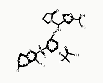 Cc1c(S(=O)(=O)c2cccc(CNC(c3csc(C(=N)N)c3)N3CCCC3=O)c2)sc2ccc(Cl)cc12.O=C(O)C(F)(F)F